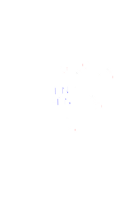 CCCCC(=O)C(C)C(N)(C(C)=O)C(N)(CSC(C)=O)C(=O)O